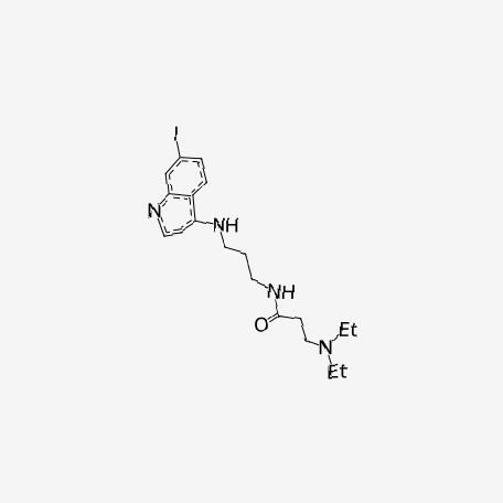 CCN(CC)CCC(=O)NCCCNc1ccnc2cc(I)ccc12